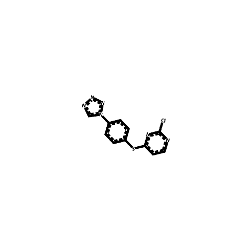 Clc1nccc(Sc2ccc(-n3cnnn3)cc2)n1